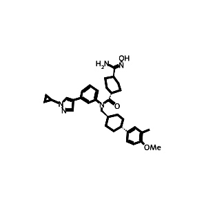 COc1ccc([C@H]2CC[C@H](CN(c3cccc(-c4cnn(C5CC5)c4)c3)C(=O)[C@H]3CC[C@H](/C(N)=N/O)CC3)CC2)cc1C